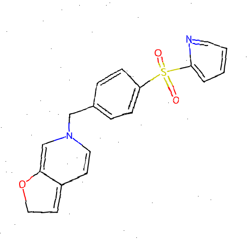 O=S(=O)(c1ccc(CN2C=CC3=CCOC3=C2)cc1)c1ccccn1